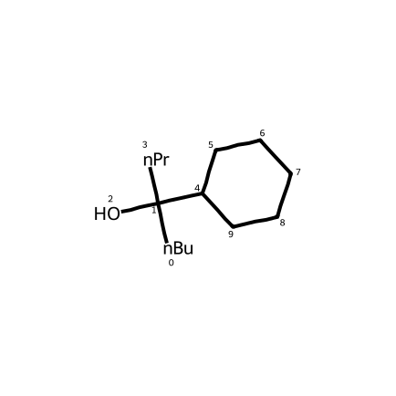 CCCCC(O)(CCC)C1CCCCC1